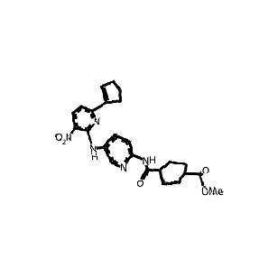 COC(=O)C1CCC(C(=O)Nc2ccc(Nc3nc(C4=CCCC4)ccc3[N+](=O)[O-])cn2)CC1